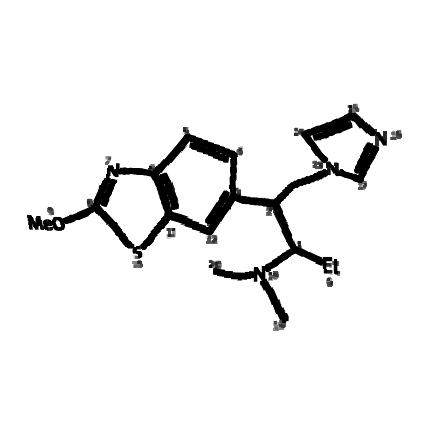 CCC(C(c1ccc2nc(OC)sc2c1)n1ccnc1)N(C)C